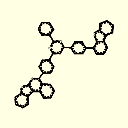 c1ccc(-c2nc(-c3ccc(-c4nc5sc6ccccc6c5c5ccccc45)cc3)cc(-c3ccc(-c4cccc5c4sc4ccccc45)cc3)n2)cc1